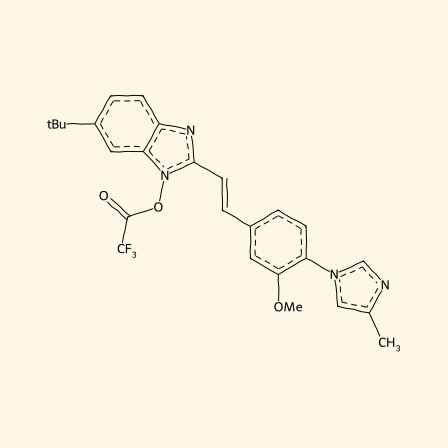 COc1cc(C=Cc2nc3ccc(C(C)(C)C)cc3n2OC(=O)C(F)(F)F)ccc1-n1cnc(C)c1